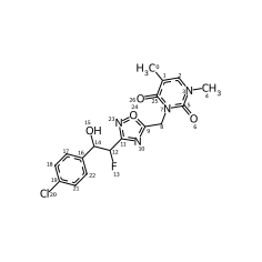 Cc1cn(C)c(=O)n(Cc2nc(C(F)C(O)c3ccc(Cl)cc3)no2)c1=O